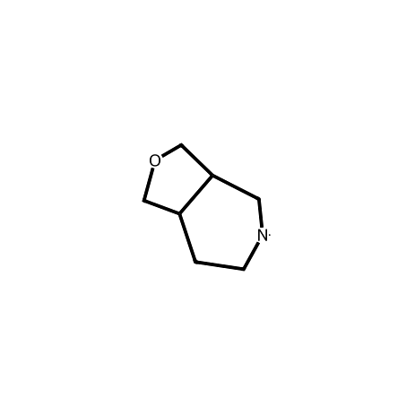 C1CC2COCC2C[N]1